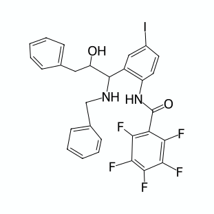 O=C(Nc1ccc(I)cc1C(NCc1ccccc1)C(O)Cc1ccccc1)c1c(F)c(F)c(F)c(F)c1F